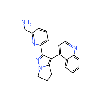 NCc1cccc(-c2nn3c(c2-c2ccnc4ccccc24)CCC3)n1